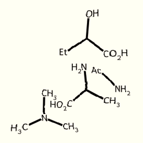 CC(N)=O.CC(N)C(=O)O.CCC(O)C(=O)O.CN(C)C